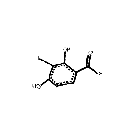 CC(C)C(=O)c1ccc(O)c(I)c1O